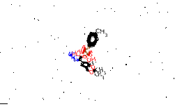 Cc1ccc(S(=O)(=O)O[C@H](O)C(N=[N+]=[N-])[C@@H]2CC3COC(C)(C)O[C@H]3C2O)cc1